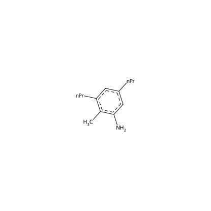 CCCc1cc(N)c(C)c(CCC)c1